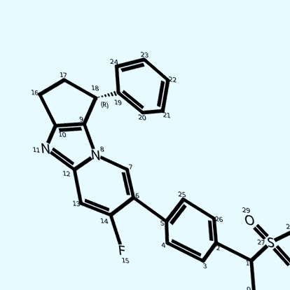 CC(c1ccc(-c2cn3c4c(nc3cc2F)CC[C@@H]4c2ccccc2)cc1)S(C)(=O)=O